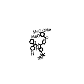 COc1cc(C(=O)N2CCC(C(CNC(=O)C3(c4ccccc4)CCNCC3)c3ccc(O[Si](C)(C)C(C)(C)C)cc3)C2)cc(OC)c1OC